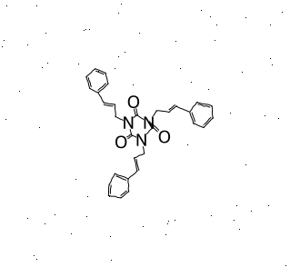 O=c1n(CC=Cc2ccccc2)c(=O)n(CC=Cc2ccccc2)c(=O)n1CC=Cc1ccccc1